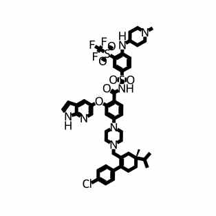 CC(C)[C@]1(C)CCC(c2ccc(Cl)cc2)=C(CN2CCN(c3ccc(C(=O)NS(=O)(=O)c4ccc(NC5CCN(C)CC5)c(S(=O)(=O)C(F)(F)F)c4)c(Oc4cnc5[nH]ccc5c4)c3)CC2)C1